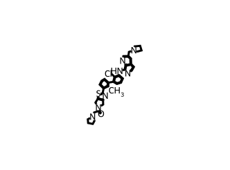 Cc1c(-c2nc3c(s2)CN(C(=O)CN2CCCC2)C3)cccc1-c1cccc(Nc2nccc3cc(CN4CCCC4)cnc23)c1Cl